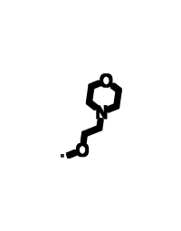 [CH2]OCCN1CCOCC1